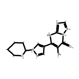 CC(C)c1c(-c2cnn(C3CCCCO3)c2)[nH]c2ncnn2c1=O